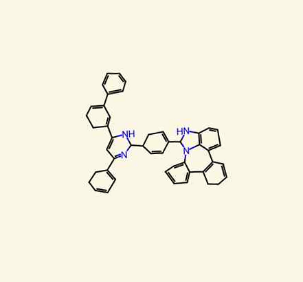 C1=CCCC(C2=NC(C3C=CC(C4Nc5cccc6c5N4c4ccccc4C4=C6C=CCC4)=CC3)NC(C3=CC(c4ccccc4)=CCC3)=C2)=C1